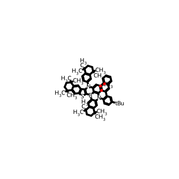 Cc1cc2c3c(c1)N(c1ccc4c(c1)C(C)(C)CCC4(C)C)c1c(sc4cc5c(cc14)C(C)(C)CCC5(C)C)B3c1cc3c(cc1N2c1ccc(C(C)(C)C)cc1-c1ccc2ccccc2c1)C(C)(C)CCC3(C)C